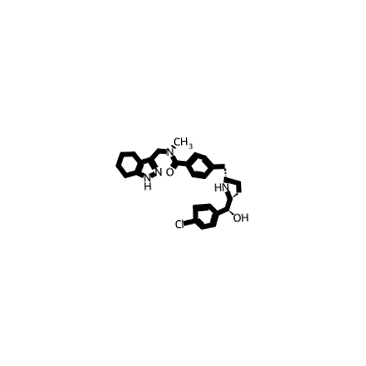 CN(Cc1n[nH]c2c1CCCC2)C(=O)c1ccc(C[C@@H]2CC[C@H]([C@H](O)c3ccc(Cl)cc3)N2)cc1